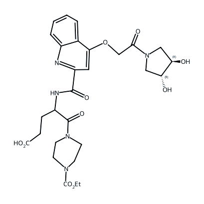 CCOC(=O)N1CCN(C(=O)C(CCC(=O)O)NC(=O)c2cc(OCC(=O)N3C[C@@H](O)[C@H](O)C3)c3ccccc3n2)CC1